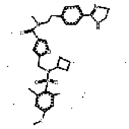 COc1cc(C)c(S(=O)(=O)N(Cc2cc(C(=O)N(C)CCc3ccc(C4=NCCN4)cc3)co2)C2CCC2)c(C)c1